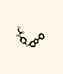 O=C(CCl)Nc1ccc(Oc2ccc3c(c2)CC(c2ccccc2)C3)nc1